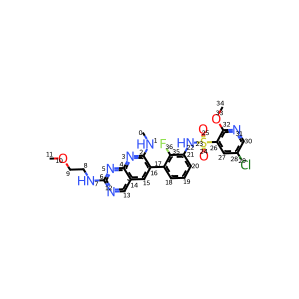 CNc1nc2nc(NCCOC)ncc2cc1-c1cccc(NS(=O)(=O)c2cc(Cl)cnc2OC)c1F